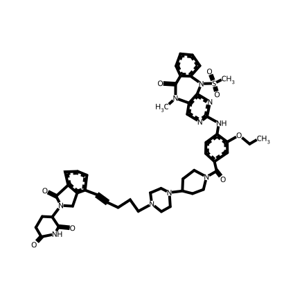 CCOc1cc(C(=O)N2CCC(N3CCN(CCCC#Cc4cccc5c4CN(C4CCC(=O)NC4=O)C5=O)CC3)CC2)ccc1Nc1ncc2c(n1)N(S(C)(=O)=O)c1ccccc1C(=O)N2C